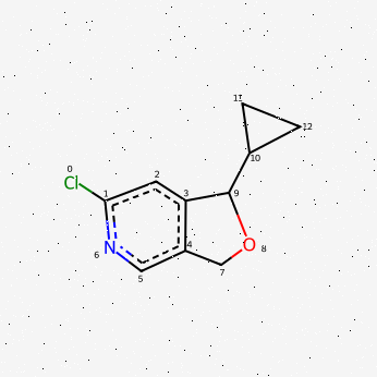 Clc1cc2c(cn1)COC2C1CC1